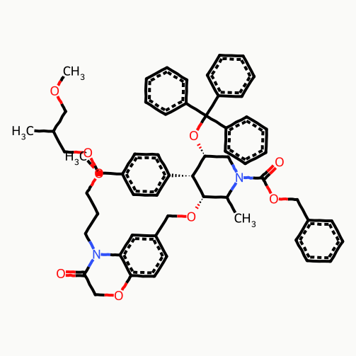 COCCCN1C(=O)COc2ccc(CO[C@H]3C(C)N(C(=O)OCc4ccccc4)C[C@@H](OC(c4ccccc4)(c4ccccc4)c4ccccc4)[C@H]3c3ccc(COCC(C)COC)cc3)cc21